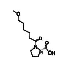 COCCCCCC(=O)N1CCC[C@H]1C(=O)O